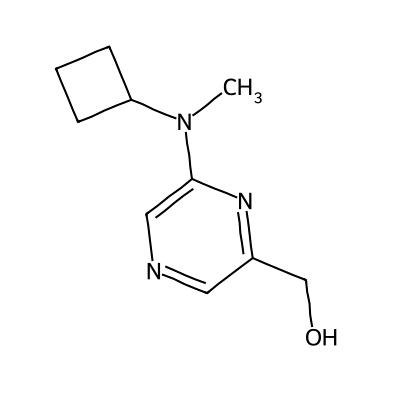 CN(c1cncc(CO)n1)C1CCC1